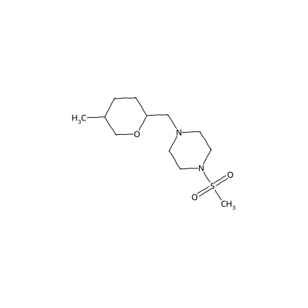 CC1CCC(CN2CCN(S(C)(=O)=O)CC2)OC1